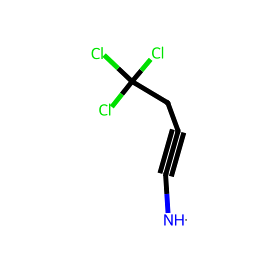 [NH]C#CCC(Cl)(Cl)Cl